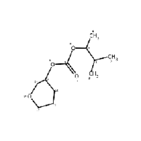 CC(C)C(C)OC(=O)OC1CCCOC1